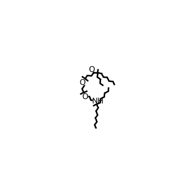 CCCCCCCC(C)(CCCCCC)NCCOC(C)(C)CCOC(C)(C)CCC(=O)C(C)(CCCC)CCCCCC